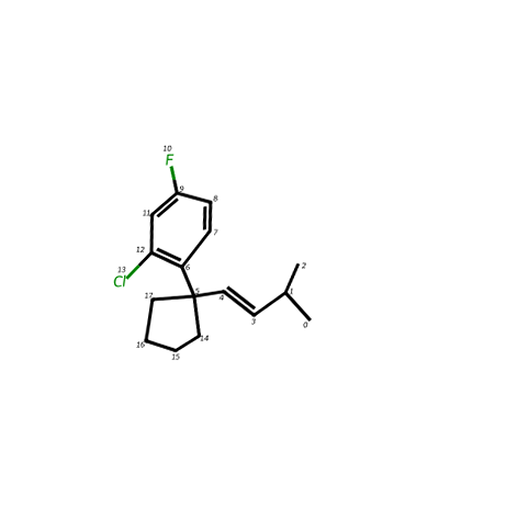 CC(C)/C=C/C1(c2ccc(F)cc2Cl)CCCC1